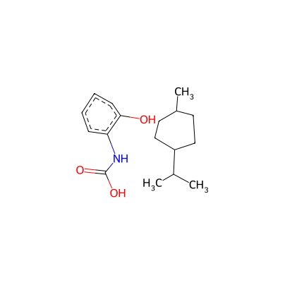 CC1CCC(C(C)C)CC1.O=C(O)Nc1ccccc1O